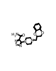 NC(=O)c1nsnc1N1CCN(CC2COc3ccccc3O2)CC1